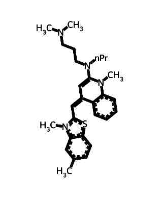 CCCN(CCCN(C)C)C1=C/C(=C/c2sc3ccc(C)cc3[n+]2C)c2ccccc2N1C